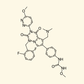 CONC(=O)Nc1ccc(-c2cn3c(c2CN(C)C)c(=O)n(-c2ccc(OC)nn2)c(=O)n3Cc2c(F)cccc2F)cc1